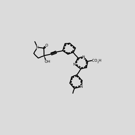 Cc1ccc(-c2cc(C(=O)O)nc(-c3cccc(C#C[C@]4(O)CCN(C)C4=O)c3)n2)cn1